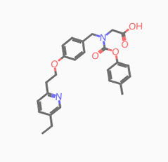 CCc1ccc(CCOc2ccc(CN(CC(=O)O)C(=O)Oc3ccc(C)cc3)cc2)nc1